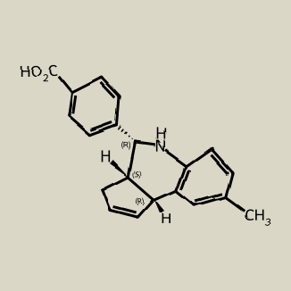 Cc1ccc2c(c1)[C@@H]1C=CC[C@@H]1[C@H](c1ccc(C(=O)O)cc1)N2